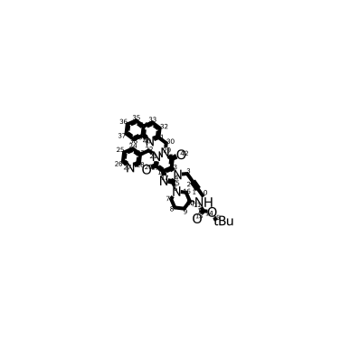 CC#CCn1c(N2CCC[C@@H](NC(=O)OC(C)(C)C)C2)nc2c(=O)n(Cc3cccnc3)n(Cc3ccc4ccccc4n3)c(=O)c21